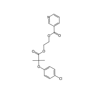 CC(C)(Oc1ccc(Cl)cc1)C(=O)OCCOC(=O)c1cccnc1